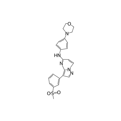 CS(=O)(=O)c1cccc(-c2cnn3ccc(Nc4ccc(N5CCOCC5)cc4)nc23)c1